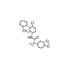 Cc1ccccc1-c1cc(NC(=O)C2(c3ccc4c(c3)OCO4)CC2)ccc1Cl